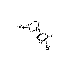 CN[C@H]1CCCN(c2cnc(Br)c(F)c2)C1